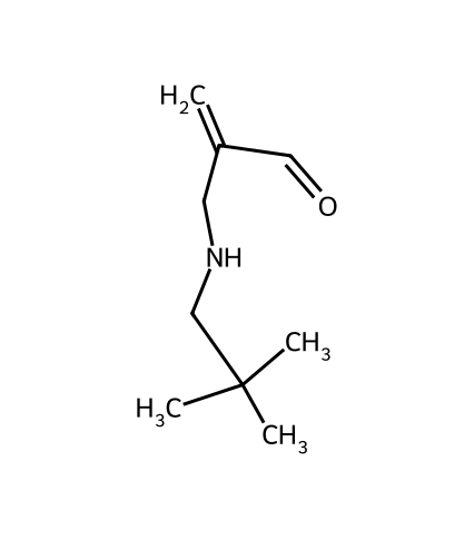 C=C(C=O)CNCC(C)(C)C